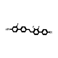 CCCC1C=C(F)C(c2ccc(CCc3ccc(-c4ccc(CC)cc4)c(F)c3F)cc2)=CC1